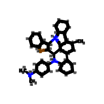 Cc1cc2c3c4c1c1ccccc1n4-c1c(sc4ccccc14)B3N(c1ccc(N(C)C)cc1)c1ccccc1-2